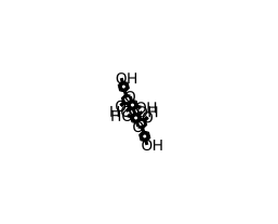 O=C1CC(c2ccc(O)cc2)Oc2cc(O)c(-c3c(O)cc4c(c3O)C(=O)CC(c3ccc(O)cc3)O4)c(O)c21